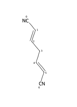 N#CC=CCC=CC#N